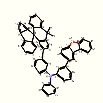 CC1(C)c2ccccc2C2(c3ccccc3-c3ccccc32)c2cc(-c3cccc(N(c4ccccc4)c4cccc(-c5ccc6oc7ccccc7c6c5)c4)c3)ccc21